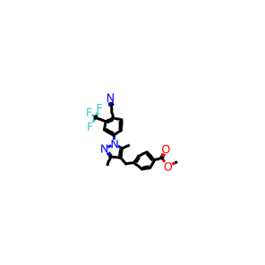 COC(=O)c1ccc(Cc2c(C)nn(-c3ccc(C#N)c(C(F)(F)F)c3)c2C)cc1